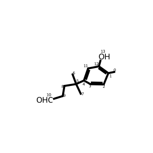 Cc1ccc(C(C)(C)CCC=O)cc1O